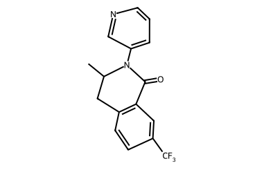 CC1Cc2ccc(C(F)(F)F)cc2C(=O)N1c1cccnc1